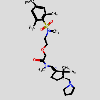 COc1cc(C)c(S(=O)(=O)N(C)CCOCC(=O)N(C)/C=C2\CC[C@H](CN3CCCC3)C2(C)C)c(C)c1